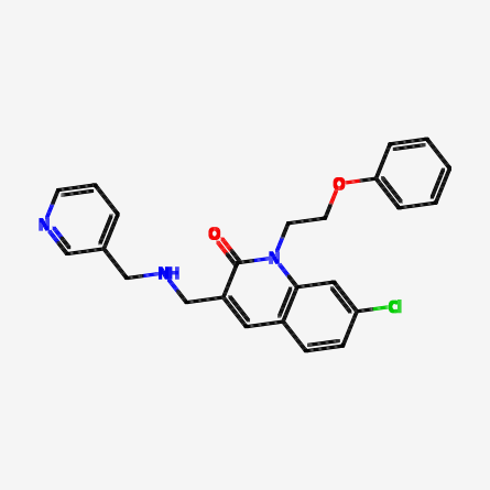 O=c1c(CNCc2cccnc2)cc2ccc(Cl)cc2n1CCOc1ccccc1